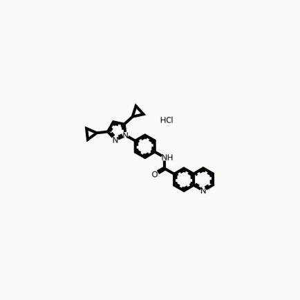 Cl.O=C(Nc1ccc(-n2nc(C3CC3)cc2C2CC2)cc1)c1ccc2ncccc2c1